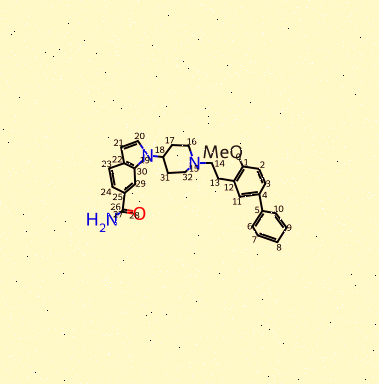 COc1ccc(-c2ccccc2)cc1CCN1CCC(n2ccc3ccc(C(N)=O)cc32)CC1